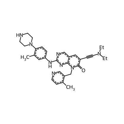 CCN(C#Cc1cc2cnc(Nc3ccc(N4CCNCC4)c(C)c3)nc2n(Cc2cnccc2C)c1=O)CC